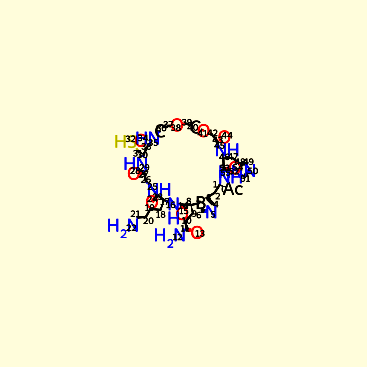 CC(=O)[C@@H]1CC2=CN=CB2[C@@H](CCC(N)=O)C(=O)N[C@@H](CCCCN)C(=O)NCC(=O)N[C@@H](CS)C(=O)NCCOCCOCC(=O)N[C@@H](Cc2cnc[nH]2)C(=O)N1